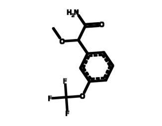 COC(C(N)=O)c1cccc(OC(F)(F)F)c1